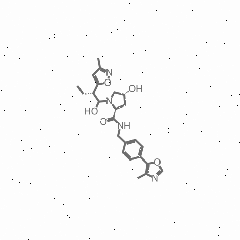 CC[C@H](c1cc(C)no1)C(O)N1C[C@H](O)C[C@H]1C(=O)NCc1ccc(-c2ocnc2C)cc1